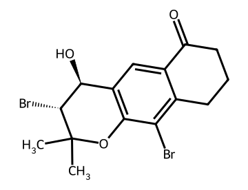 CC1(C)Oc2c(cc3c(c2Br)CCCC3=O)[C@H](O)[C@H]1Br